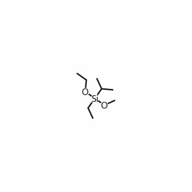 CCO[Si](CC)(OC)C(C)C